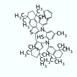 Cc1cc2c(S)c(c1)N(c1ccc3ccccc3c1)c1c(sc3cc4c(cc13)C(C)(C)CCC4(C)C)Cc1cc3c(cc1N2c1ccc2c(c1)C(C)(C)CCC2(C)C)C(C)(C)CCC3(C)C